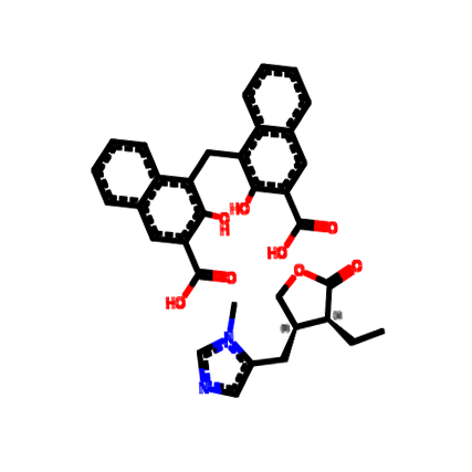 CC[C@@H]1C(=O)OC[C@@H]1Cc1cncn1C.O=C(O)c1cc2ccccc2c(Cc2c(O)c(C(=O)O)cc3ccccc23)c1O